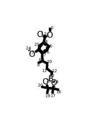 COC(=O)c1ccc(C(C)CCCB2OC(C)(C)C(C)(C)O2)c(OC)c1